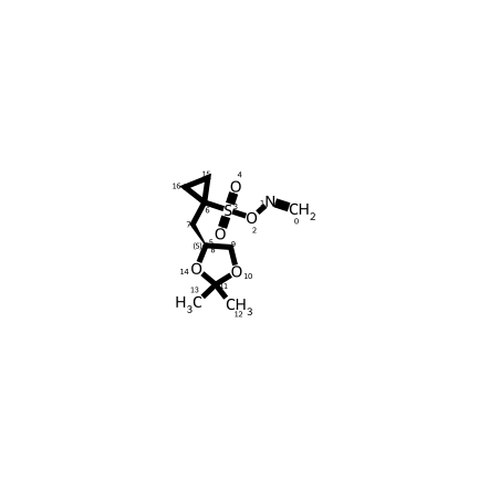 C=NOS(=O)(=O)C1(C[C@H]2COC(C)(C)O2)CC1